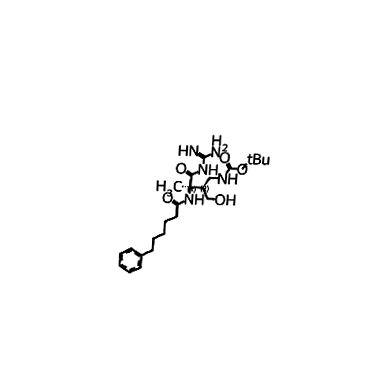 CC(C)(C)OC(=O)NC[C@@H](CO)[C@@](C)(NC(=O)CCCCCc1ccccc1)C(=O)NC(=N)N